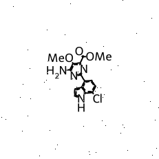 COC(=O)c1nc(-c2ccc(Cl)c3[nH]ccc23)nc(N)c1OC